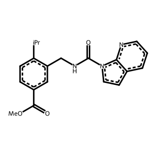 COC(=O)c1ccc(C(C)C)c(CNC(=O)n2ccc3cccnc32)c1